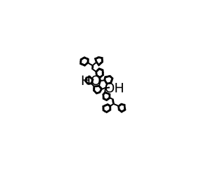 OC1(c2cccc(C=C(c3ccccc3)c3ccccc3)c2)c2ccccc2C(O)(c2cccc(C=C(c3ccccc3)c3ccccc3)c2)c2c(-c3ccccc3)cccc21